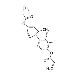 C=CC(=O)OC1=CC(C)C(c2ccc(OC(=O)C=C)c(F)c2F)C=C1